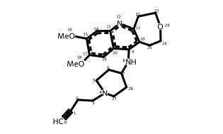 C#CCCN1CCC(Nc2c3c(nc4cc(OC)c(OC)cc24)CCOCC3)CC1